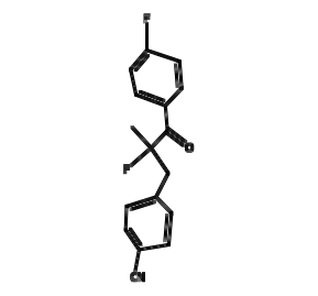 CC(F)(Cc1ccc(C#N)cc1)C(=O)c1ccc(F)cc1